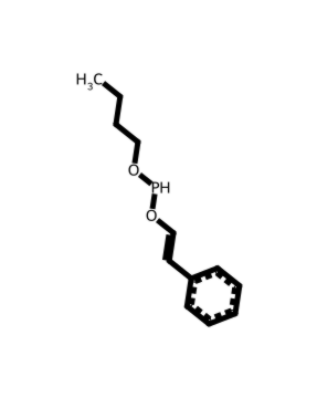 CCCCOPOC=Cc1ccccc1